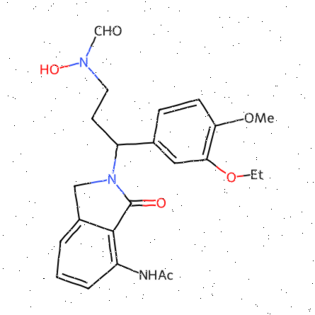 CCOc1cc(C(CCN(O)C=O)N2Cc3cccc(NC(C)=O)c3C2=O)ccc1OC